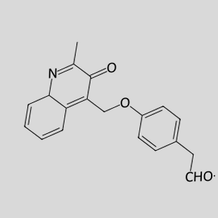 CC1=NC2C=CC=CC2=C(COc2ccc(C[C]=O)cc2)C1=O